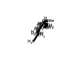 C/C=C/C=C/C=C/C=C/C=C/[C@H](C)[C@@H](O)[C@@H](C)[C@H](C)OC(=O)C[C@H](O)C[C@H](O)CC[C@@H](O)[C@H](O)C[C@H](O)C[C@]1(O)C[C@H](O)[C@@H](NC(=O)NC)[C@H](C[C@H](/C=C/C)O[C@@H]2O[C@H](C)[C@@H](O)[C@H](N)[C@@H]2O)O1